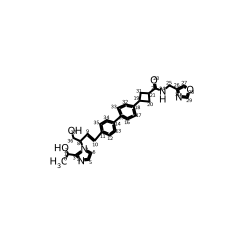 CC(O)c1nccn1C(/C=C/c1ccc(-c2ccc(C3CC(C(=O)NCc4cocn4)C3)cc2)cc1)CO